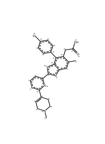 Cc1cc2nc(-c3ccnc(C4=CCN(C)CC4)n3)sc2c(-c2ccc(Cl)cc2)c1CC(=O)O